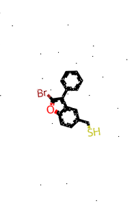 SCc1ccc2oc(Br)c(-c3ccccc3)c2c1